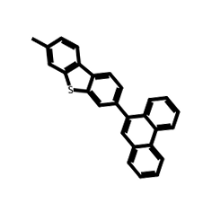 Cc1ccc2c(c1)sc1cc(-c3cc4ccccc4c4ccccc34)ccc12